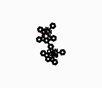 CC1(C)c2ccccc2-c2ccc3c4ccccc4n(-c4nc(-c5ccccc5)nc(-c5ccc(-c6cc7c8ccccc8n(-c8ccccc8)c7c7c6c6ccccc6n7-c6nc(-c7ccccc7)nc(-c7ccccc7)n6)cc5)n4)c3c21